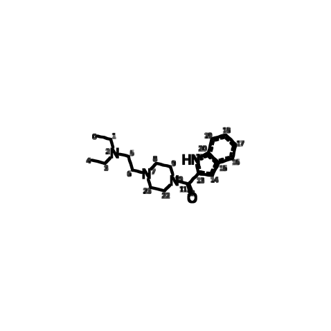 CCN(CC)CCN1CCN(C(=O)c2cc3ccccc3[nH]2)CC1